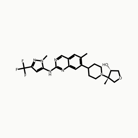 Cc1cc2cnc(Nc3cc(C(F)(F)F)nn3C)nc2cc1C1CCN([C@@]2(C)COC[C@H]2O)CC1